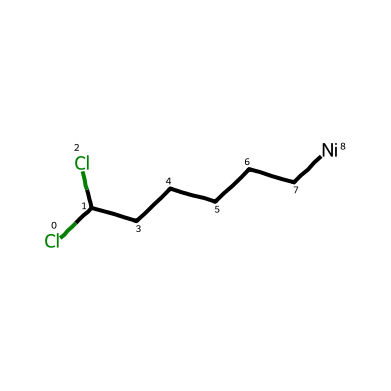 ClC(Cl)CCCC[CH2][Ni]